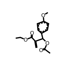 C=C(C(=O)OCC)C(OC(C)=O)c1ccc(OC)cc1